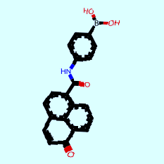 O=C(Nc1ccc(B(O)O)cc1)c1ccc2c3c(cccc13)C(=O)C=C2